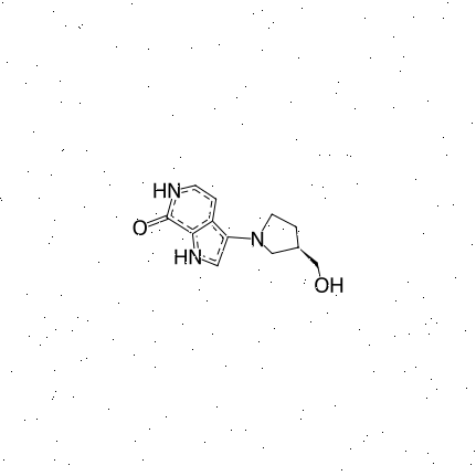 O=c1[nH]ccc2c(N3CC[C@@H](CO)C3)c[nH]c12